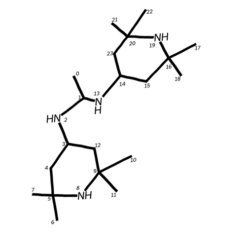 CC(NC1CC(C)(C)NC(C)(C)C1)NC1CC(C)(C)NC(C)(C)C1